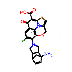 NC12C=CC(C1)C1CN(c3c(F)cc4c(=O)c(C(=O)O)c5scc6n5c4c3OC6)CC12